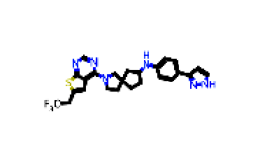 FC(F)(F)Cc1cc2c(N3CCC4(CCC(Nc5ccc(-c6cc[nH]n6)cc5)C4)C3)ncnc2s1